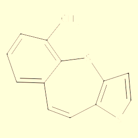 Cc1cccc2c1Sc1ccsc1C=C2